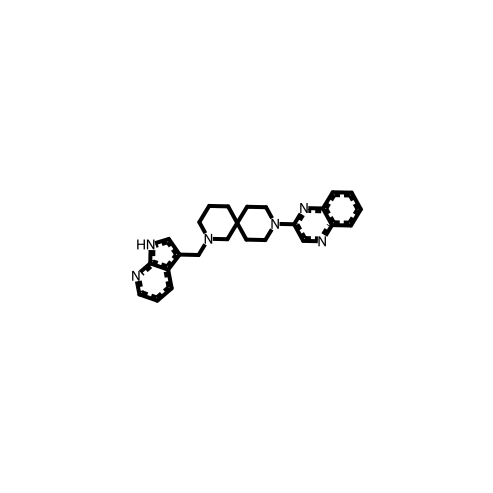 c1ccc2nc(N3CCC4(CCCN(Cc5c[nH]c6ncccc56)C4)CC3)cnc2c1